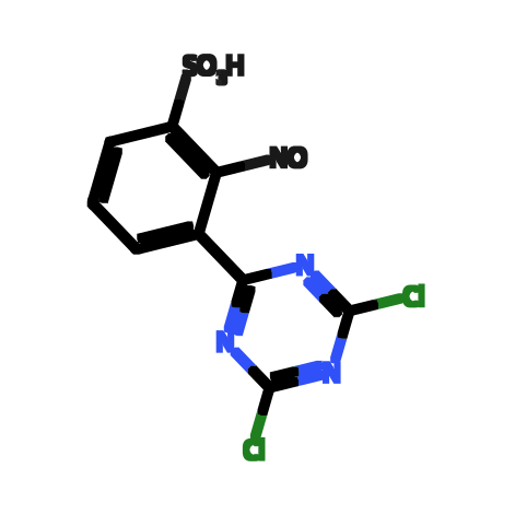 O=Nc1c(-c2nc(Cl)nc(Cl)n2)cccc1S(=O)(=O)O